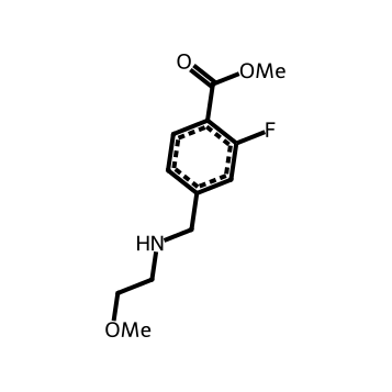 COCCNCc1ccc(C(=O)OC)c(F)c1